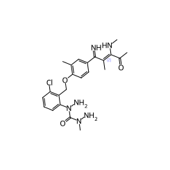 CN/C(C(C)=O)=C(/C)C(=N)c1ccc(OCc2c(Cl)cccc2N(N)C(=O)N(C)N)c(C)c1